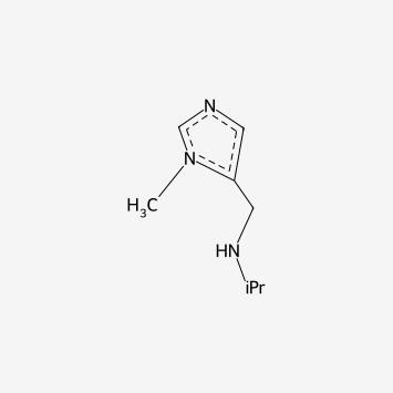 CC(C)NCc1cncn1C